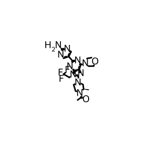 CC(=O)N1CCN(c2nc3c(N4CCOCC4)nc(-c4cnc(N)nc4)nc3n2CC(F)(F)F)C[C@H]1C